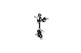 C[C@@H]1COCCN1c1cc(C2(S(=N)(=O)CCCCCCO[C@H]3CC[C@H]4[C@@H]5CC[C@H]6CC(=O)CC[C@]6(C)[C@H]5CC[C@]34C)CC2)nc(-c2ccnc3[nH]ccc23)n1